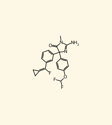 CN1C(=O)C(c2ccc(OC(F)F)cc2)(c2cccc(C(F)=C3CC3)c2)N=C1N